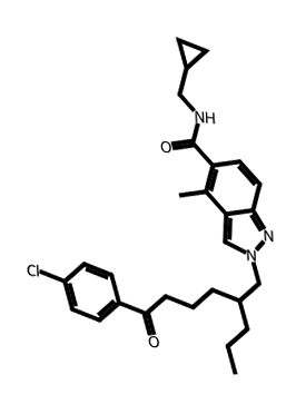 CCCC(CCCC(=O)c1ccc(Cl)cc1)Cn1cc2c(C)c(C(=O)NCC3CC3)ccc2n1